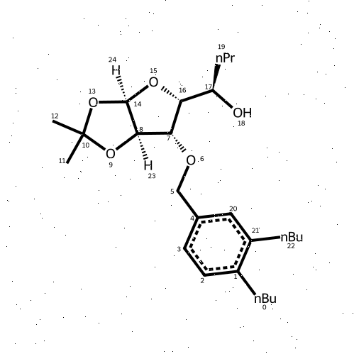 CCCCc1ccc(CO[C@@H]2[C@H]3OC(C)(C)O[C@H]3O[C@@H]2[C@H](O)CCC)cc1CCCC